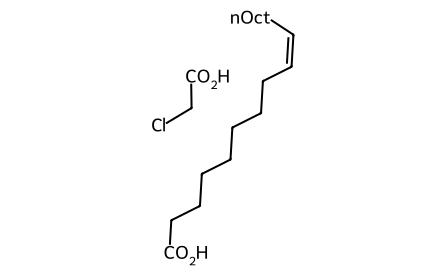 CCCCCCCC/C=C\CCCCCCCC(=O)O.O=C(O)CCl